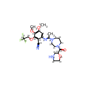 COc1cc(N=C(C)N2CCCN(C(=O)C3CNCCO3)CC2)c(C#N)c(OCC(F)(F)F)c1OC